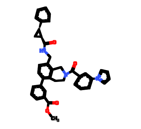 COC(=O)c1cccc(-c2ccc(CNC(=O)[C@H]3C[C@@H]3c3ccccc3)c3c2CCN(C(=O)c2cccc(-n4cccc4)c2)C3)c1